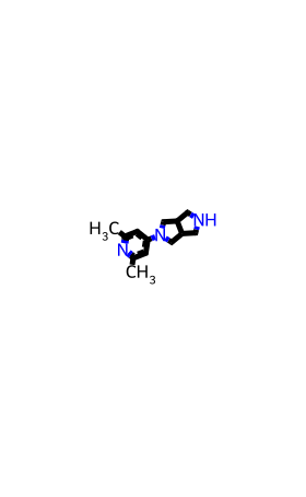 Cc1cc(N2CC3CNCC3C2)cc(C)n1